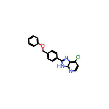 Clc1ccnc2[nH]c(-c3ccc(COc4ccccc4)cc3)nc12